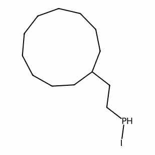 IPCCC1CCCCCCCCCC1